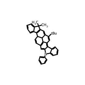 CC(C)(C)C1=Cc2c3c(cc4c2c2ccccc2n4-c2ccccc2)C=CC2C4=C(C=C1C32)C(C)(C)c1ccccc14